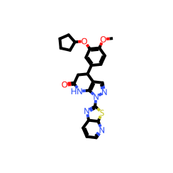 COc1ccc(C2CC(=O)Nc3c2cnn3C2=NC3C=CC=NC3S2)cc1OC1CCCC1